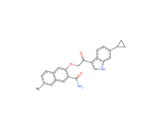 N#Cc1ccc2cc(OCC(=O)c3c[nH]c4cc(C5CC5)ccc34)c(C(N)=O)cc2c1